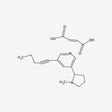 CCCC#Cc1cncc(C2CCCN2C)c1.O=C(O)C=CC(=O)O